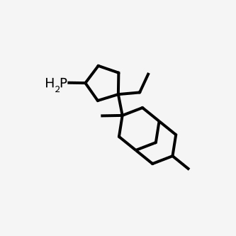 CCC1(C2(C)CC3CC(C)CC(C3)C2)CCC(P)C1